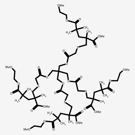 COCCOC(=O)C(C)(C)CC(C)(CSCC(=O)OCC(COC(=O)CSCC(C)(CC(C)(C)C(=O)OCCOC)C(=O)OC)(COC(=O)CSCC(C)(CC(C)(C)C(=O)OCCOC)C(=O)OC)COC(=O)CSCC(C)(CC(C)(C)C(=O)OCCOC)C(=O)OC)C(=O)OC